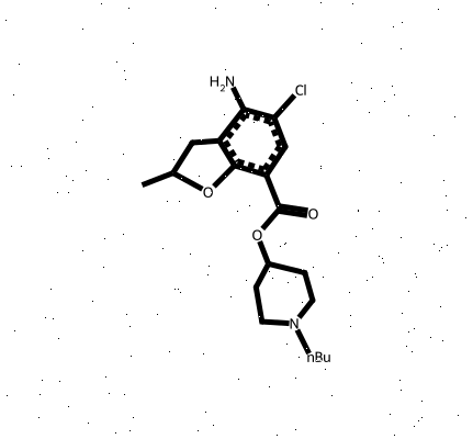 CCCCN1CCC(OC(=O)c2cc(Cl)c(N)c3c2OC(C)C3)CC1